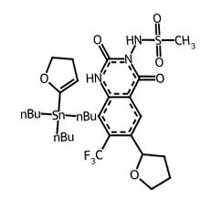 CCC[CH2][Sn]([CH2]CCC)([CH2]CCC)[C]1=CCCO1.CS(=O)(=O)Nn1c(=O)[nH]c2cc(C(F)(F)F)c(C3CCCO3)cc2c1=O